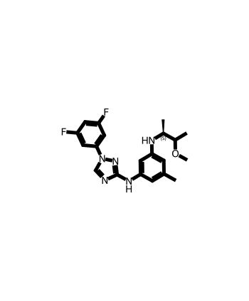 COC(C)[C@H](C)Nc1cc(C)cc(Nc2ncn(-c3cc(F)cc(F)c3)n2)c1